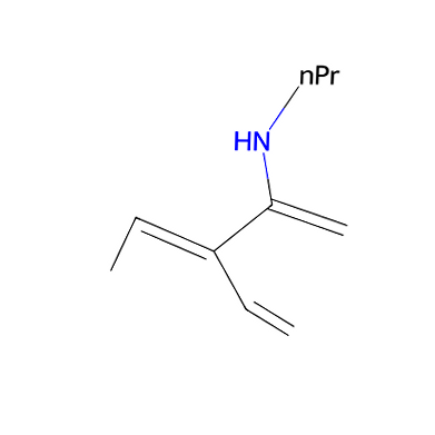 C=C/C(=C\C)C(=C)NCCC